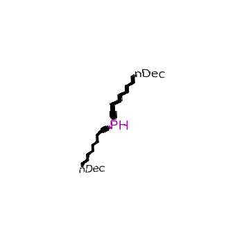 CCCCCCCCCCCCCCCCCC#CPC#CCCCCCCCCCCCCCCCCC